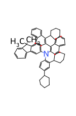 CC1(C)c2ccccc2-c2cc(N(c3ccc(C4CCCCC4)cc3C3CCCCC3)c3ccc4ccccc4c3-c3ccc4ccccc4c3C3CCCCC3)ccc21